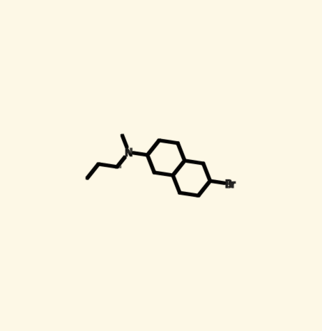 CC[CH]N(C)C1CCC2CC(Br)CCC2C1